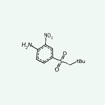 CC(C)(C)CS(=O)(=O)c1ccc(N)c([N+](=O)[O-])c1